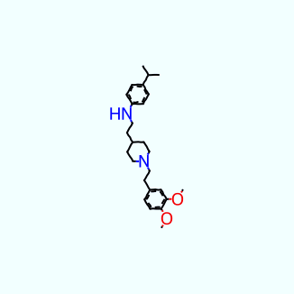 COc1ccc(CCN2CCC(CCNc3ccc(C(C)C)cc3)CC2)cc1OC